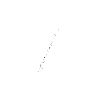 O=C(O)CNCCNCCNCCNCCNCCNCCNCCNCCNCCNCCNCC(=O)NC(=O)C(=O)NC(=O)C(=O)O